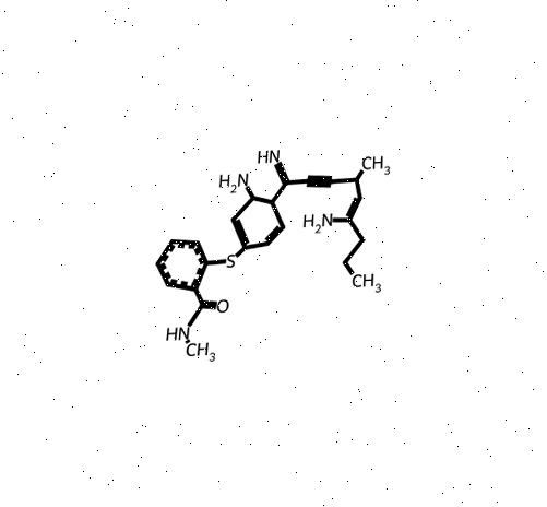 CCCC(N)=CC(C)C#CC(=N)C1C=CC(Sc2ccccc2C(=O)NC)=CC1N